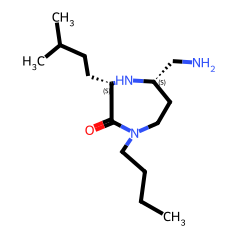 CCCCN1CC[C@@H](CN)N[C@@H](CCC(C)C)C1=O